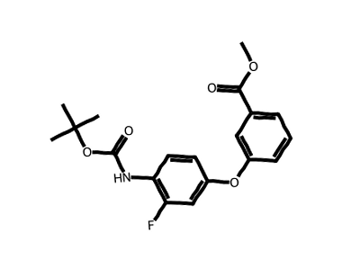 COC(=O)c1cccc(Oc2ccc(NC(=O)OC(C)(C)C)c(F)c2)c1